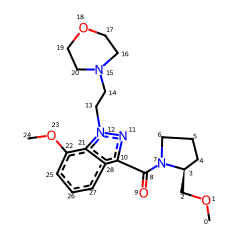 COC[C@@H]1CCCN1C(=O)c1nn(CCN2CCOCC2)c2c(OC)cccc12